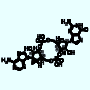 Nc1nc2c(ncn2[C@@H]2O[C@@H]3COP(=O)(O)O[C@@H]4[C@@H](COP(=O)(O)O[C@H]3[C@H]2O)[C@@H]2CC2(n2cnc3c(N)ncnc32)[C@@H]4O)c(=O)[nH]1